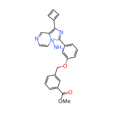 COC(=O)c1cccc(COc2cccc(C3=NC(C4=CC=C4)=C4C=NC=C[N+]34N)c2)c1